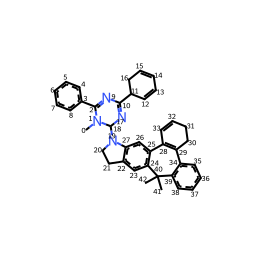 CN1C(c2ccccc2)=NC(C2C=CC=CC2)=NC1N1CCc2cc3c(cc21)C1=C(CCC=C1)c1ccccc1C3(C)C